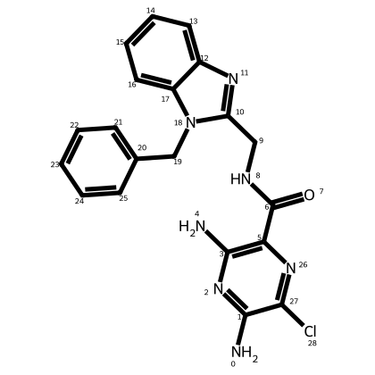 Nc1nc(N)c(C(=O)NCc2nc3ccccc3n2Cc2ccccc2)nc1Cl